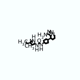 CC(C)c1cc(NC(=O)Nc2ccc(-c3cccn4nnc(N)c34)cc2)[nH]n1